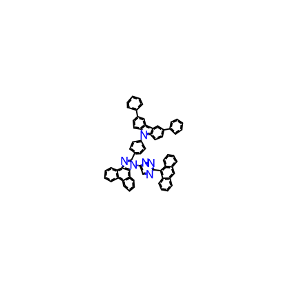 c1ccc(-c2ccc3c(c2)c2cc(-c4ccccc4)ccc2n3-c2ccc(-c3nc4c5ccccc5c5ccccc5c4n3-c3cnc(-c4c5ccccc5cc5ccccc45)nn3)cc2)cc1